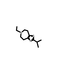 CCN1CCc2nc(C(C)C)sc2CC1